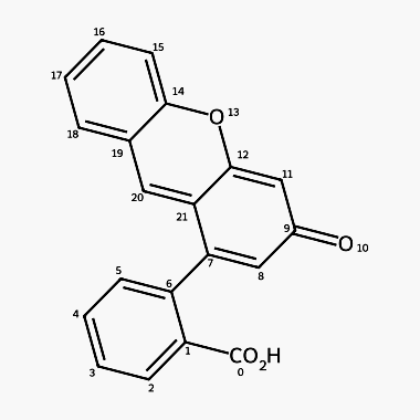 O=C(O)c1ccccc1-c1cc(=O)cc2oc3ccccc3cc1-2